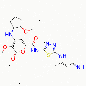 COc1c(N[C@H]2CCC[C@H]2OC)cc(C(=O)Nc2nnc(N/C(C)=C\C=N)s2)oc1=O